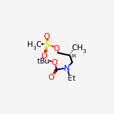 CCN(C[C@@H](C)COS(C)(=O)=O)C(=O)OC(C)(C)C